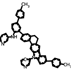 Cc1ccc(-c2ccc(Nc3cccnc3)c(-c3ccc4c(c3)CCc3cc5c6cc(-c7ccc(C)cc7)ccc6n(-c6cccnc6)c5cc3-4)c2)cc1